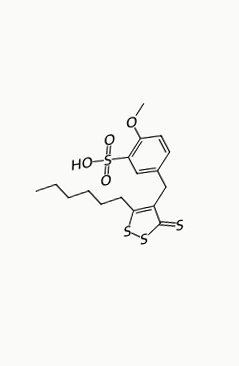 CCCCCCc1ssc(=S)c1Cc1ccc(OC)c(S(=O)(=O)O)c1